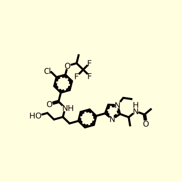 CCn1cc(-c2ccc(CC(CCO)NC(=O)c3ccc(OC(C)C(F)(F)F)c(Cl)c3)cc2)nc1C(C)NC(C)=O